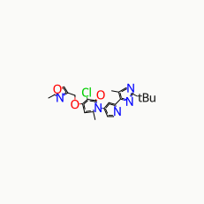 Cc1nc(COc2cc(C)n(-c3ccnc(-c4nc(C(C)(C)C)ncc4C)c3)c(=O)c2Cl)co1